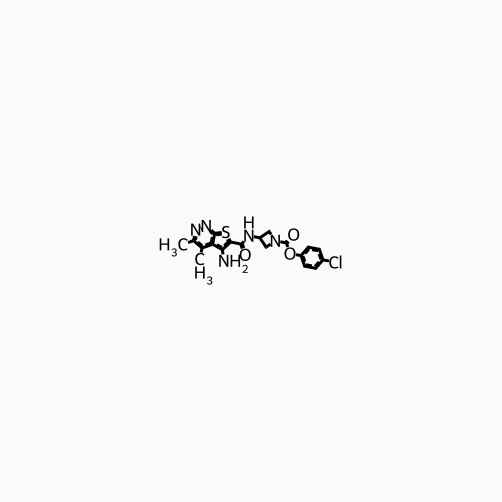 Cc1nnc2sc(C(=O)NC3CN(C(=O)Oc4ccc(Cl)cc4)C3)c(N)c2c1C